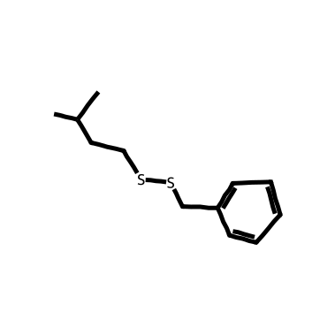 CC(C)CCSSCc1ccccc1